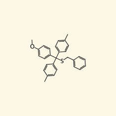 COc1ccc(C(SCc2ccccc2)(c2ccc(C)cc2)c2ccc(C)cc2)cc1